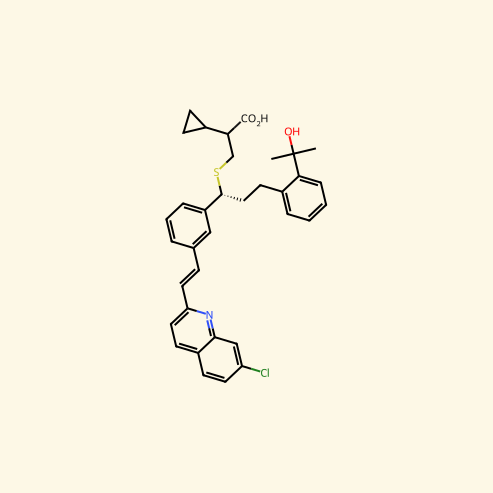 CC(C)(O)c1ccccc1CC[C@@H](SCC(C(=O)O)C1CC1)c1cccc(C=Cc2ccc3ccc(Cl)cc3n2)c1